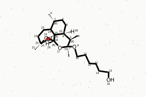 C[C@@H]1CC[C@H]2[C@@H](C)[C@@](C)(OCCCCCCO)O[C@@H]3O[C@]4(C)CCC1[C@]32OO4